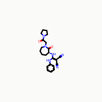 N#CC(C#N)=C(Nc1ccccc1)N[C@H]1CCCCN(CC(=O)N2CCCC2)C1=O